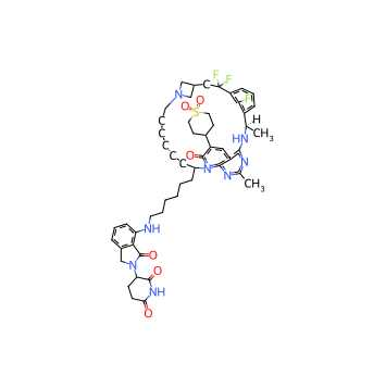 Cc1nc2c3cc(C4CCS(=O)(=O)CC4)c(=O)n(c3n1)C(CCCCCCNc1cccc3c1C(=O)N(C1CCC(=O)NC1=O)C3)CCCCCCN1CC(C1)CC(F)(F)c1cccc(c1F)[C@@H](C)N2